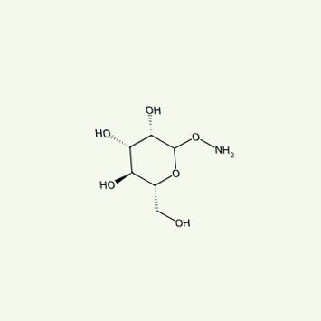 NOC1O[C@H](CO)[C@@H](O)[C@H](O)[C@@H]1O